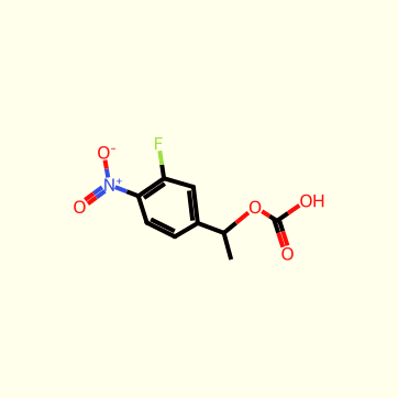 CC(OC(=O)O)c1ccc([N+](=O)[O-])c(F)c1